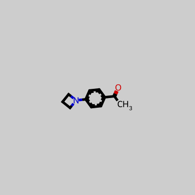 CC(=O)c1ccc(N2CCC2)cc1